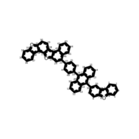 c1ccc2c(c1)oc1ccc(-c3c4ccccc4c(-c4ccc(-c5cc6oc7c(ccc8oc9ccccc9c87)c6c6ccccc56)cc4)c4ccccc34)cc12